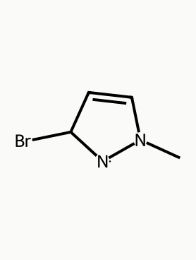 CN1C=CC(Br)[N]1